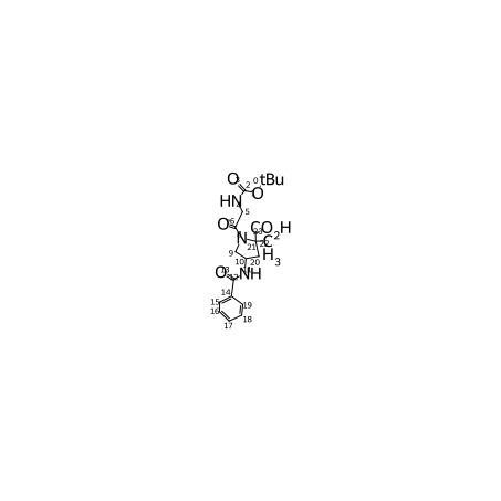 CC(C)(C)OC(=O)NCC(=O)N1CC(NC(=O)c2ccccc2)CC1(C)C(=O)O